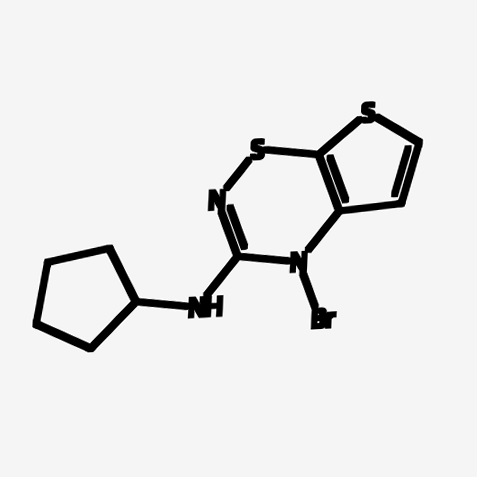 BrN1C(NC2CCCC2)=NSc2sccc21